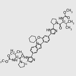 COC(=O)N[C@H](C(=O)N1CCCC1c1ncc(-c2ccc3c(c2)OC2(CCCCC2)n2c-3cc3cc(-c4ncc([C@@H]5CCCN5C(=O)[C@@H](NC(=O)OC)C(C)C)[nH]4)ccc32)[nH]1)C(C)C